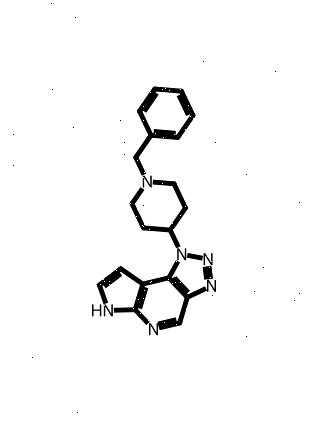 c1ccc(CN2CCC(n3nnc4cnc5[nH]ccc5c43)CC2)cc1